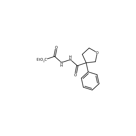 CCOC(=O)C(=O)NNC(=O)C1(c2ccccc2)CCOC1